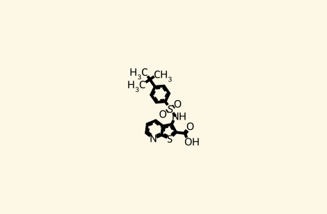 CC(C)(C)c1ccc(S(=O)(=O)Nc2c(C(=O)O)sc3ncccc23)cc1